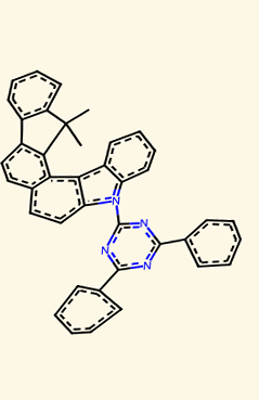 CC1(C)c2ccccc2-c2ccc3ccc4c(c5ccccc5n4-c4nc(-c5ccccc5)nc(-c5ccccc5)n4)c3c21